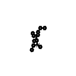 c1ccc(-c2cccc(-c3ccc4c(ccc5c4c4c6ccccc6ccc4n5-c4ccc(C5C(c6cccc(-c7ccccc7)c6)n6c7ccccc7n65)c5ccccc45)c3)c2)cc1